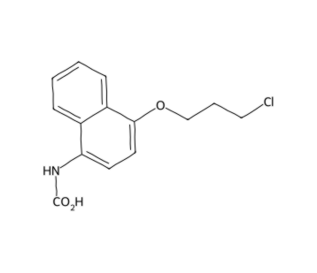 O=C(O)Nc1ccc(OCCCCl)c2ccccc12